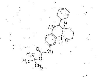 CC(C)(C)OC(=O)Nc1ccc2c(c1)[C@H]1OCCC[C@H]1[C@H](C1C=CC=CC1)N2